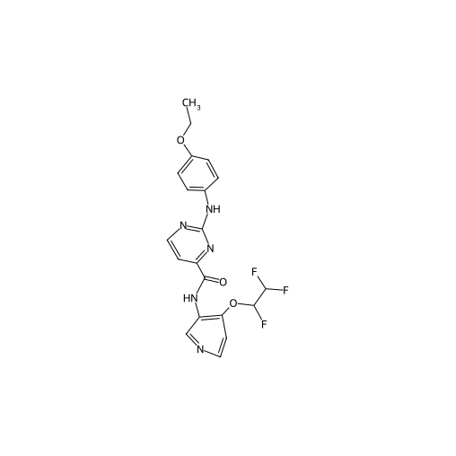 CCOc1ccc(Nc2nccc(C(=O)Nc3cnccc3OC(F)C(F)F)n2)cc1